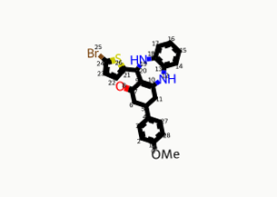 COc1ccc(C2CC(=O)C3=C(C2)Nc2ccccc2NC3c2ccc(Br)s2)cc1